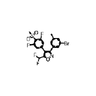 Cc1cc(Br)cc(-c2noc(C(F)F)c2-c2cc(F)c(S(C)(=O)=O)c(F)c2)c1